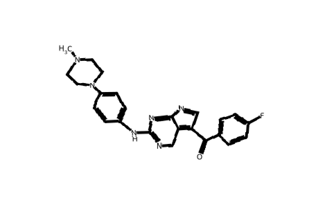 CN1CCN(c2ccc(NC3=NCC4=C(C(=O)c5ccc(F)cc5)C=NC4=N3)cc2)CC1